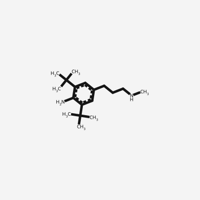 CNCCCc1cc(C(C)(C)C)c(N)c(C(C)(C)C)c1